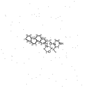 CC(C1CNCCO1)C1CNC=CN1OCc1ccc2c(ccc3c4ccccc4ccc23)c1